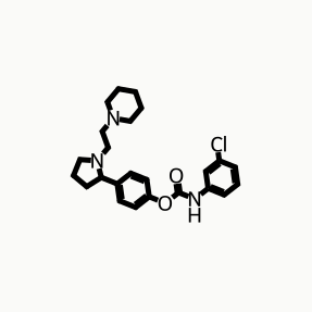 O=C(Nc1cccc(Cl)c1)Oc1ccc(C2CCCN2CCN2CCCCC2)cc1